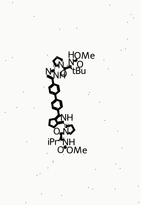 COC(=O)N[C@H](C(=O)N1CCC[C@H]1c1[nH]c(-c2ccc(-c3ccc(-c4cnc([C@@H]5CCCN5C(=O)[C@@H](NC(=O)OC)C(C)(C)C)[nH]4)cc3)cc2)c2c1CCC2)C(C)C